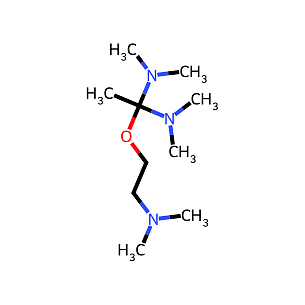 CN(C)CCOC(C)(N(C)C)N(C)C